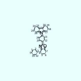 c1ccc(-c2cccc3oc(-c4ccc(-n5c6ccccc6c6ccccc65)cc4)nc23)cc1